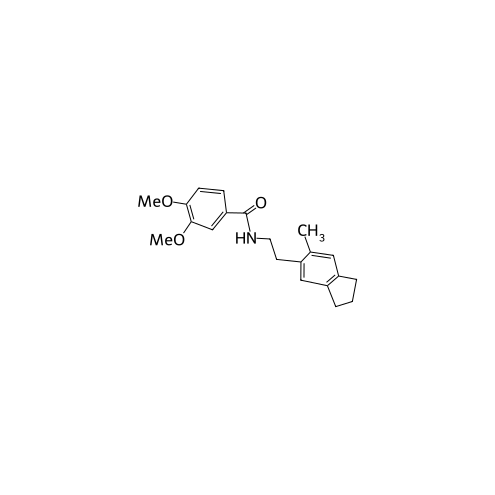 COc1ccc(C(=O)NCCc2cc3c(cc2C)CCC3)cc1OC